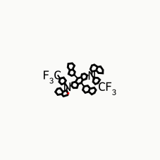 FC(F)(F)c1ccc(N(c2ccc3c(-c4ccc5ccccc5c4)c4cc(N(c5ccc(C(F)(F)F)cc5)c5cccc6ccccc56)ccc4c(-c4ccc5ccccc5c4)c3c2)c2cccc3ccccc23)cc1